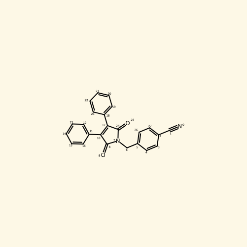 N#Cc1ccc(CN2C(=O)C(c3ccccc3)=C(c3ccccc3)C2=O)cc1